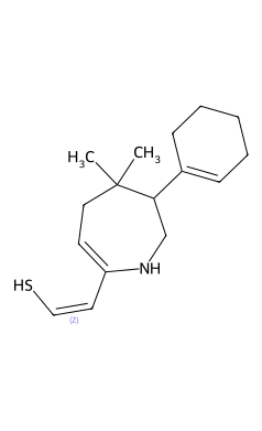 CC1(C)CC=C(/C=C\S)NCC1C1=CCCCC1